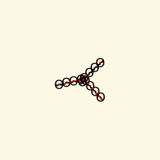 CCOCCCOCCCOCCCOP(=O)(OCCCOCCCOCCCOCC)OCCCOCCCOCCCOCC